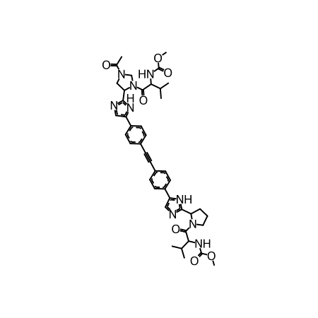 COC(=O)NC(C(=O)N1CCCC1c1ncc(-c2ccc(C#Cc3ccc(-c4cnc(C5CN(C(C)=O)CN5C(=O)C(NC(=O)OC)C(C)C)[nH]4)cc3)cc2)[nH]1)C(C)C